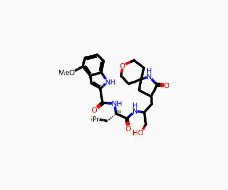 COc1cccc2[nH]c(C(=O)N[C@@H](CC(C)C)C(=O)NC(CO)CC3CC4(CCOCC4)NC3=O)cc12